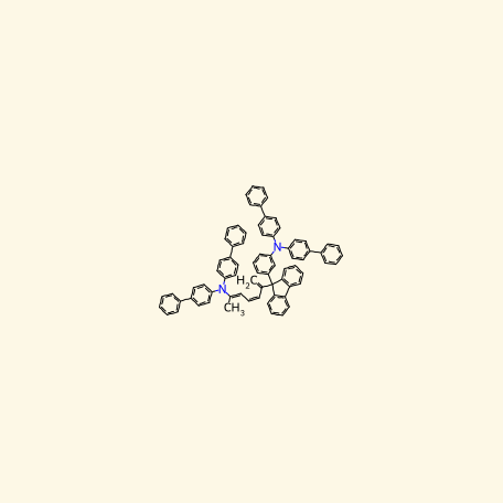 C=C(/C=C\C=C(/C)N(c1ccc(-c2ccccc2)cc1)c1ccc(-c2ccccc2)cc1)C1(c2cccc(N(c3ccc(-c4ccccc4)cc3)c3ccc(-c4ccccc4)cc3)c2)c2ccccc2-c2ccccc21